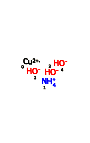 [Cu+2].[NH4+].[OH-].[OH-].[OH-]